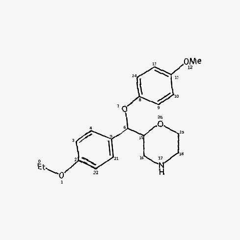 CCOc1ccc(C(Oc2ccc(OC)cc2)C2CNCCO2)cc1